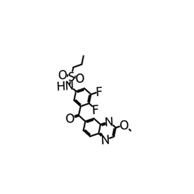 CCCS(=O)(=O)Nc1cc(F)c(F)c(C(=O)c2ccc3ncc(OC)nc3c2)c1